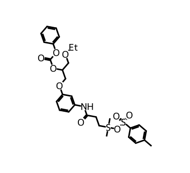 CCOCC(COc1cccc(NC(=O)CCS(C)(C)OS(=O)(=O)c2ccc(C)cc2)c1)OC(=O)Oc1ccccc1